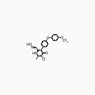 Cc1[nH]c(/C=N/O)c(-c2ccc(Oc3ccc(OC(F)(F)F)cc3)cc2)c(=O)c1Cl